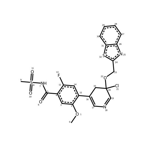 COc1cc(C(=O)NS(C)(=O)=O)c(F)cc1C1=CN=CC(Cl)(OCc2nc3ccccc3s2)C1